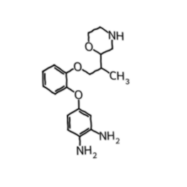 CC(COc1ccccc1Oc1ccc(N)c(N)c1)C1CNCCO1